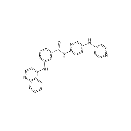 O=C(Nc1ccc(Nc2ccncc2)cn1)c1cccc(Nc2ccnc3ccccc23)c1